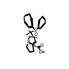 COC(=O)[C@@]12CCCN1C[C@H](O[Si](c1ccccc1)(c1ccccc1)C(C)(C)C)C2